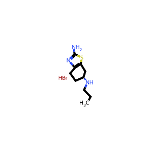 Br.CCCN[C@H]1CCc2nc(N)sc2C1